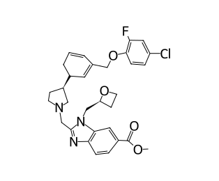 COC(=O)c1ccc2nc(CN3CC[C@@H](C4C=C(COc5ccc(Cl)cc5F)C=CC4)C3)n(C[C@@H]3CCO3)c2c1